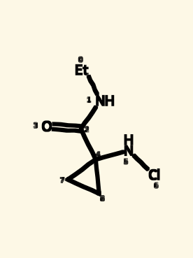 CCNC(=O)C1(NCl)CC1